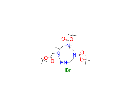 Br.CC1CN(C(=O)OC(C)(C)C)CCN(C(=O)OC(C)(C)C)CCNCCN1CC(=O)OC(C)(C)C